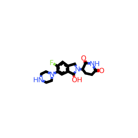 O=C1CCC(N2Cc3cc(F)c(N4CCNCC4)cc3C2O)C(=O)N1